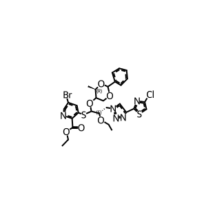 CCOC(=O)c1ncc(Br)cc1SC(OC1COC(c2ccccc2)O[C@@H]1C)[C@H](Cn1cc(-c2nc(Cl)cs2)nn1)OCC